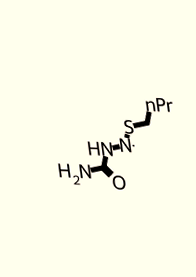 CCCCS[N]NC(N)=O